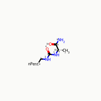 CCCCCCNC(=O)N[C@@H](C)C(N)=O